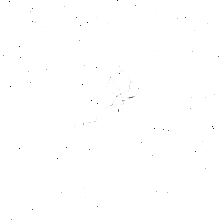 CC(OC(=O)C12CC3CC(CC(C3)C1=O)C2)C(F)(F)F